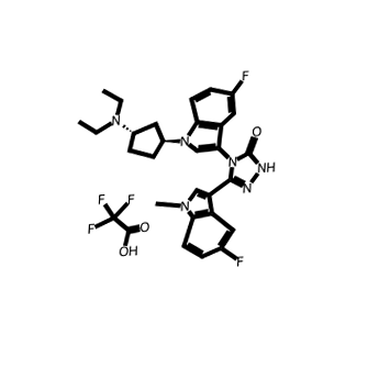 CCN(CC)[C@H]1CC[C@H](n2cc(-n3c(-c4cn(C)c5ccc(F)cc45)n[nH]c3=O)c3cc(F)ccc32)C1.O=C(O)C(F)(F)F